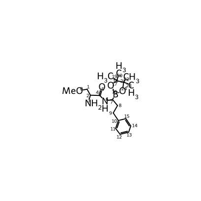 COCC(N)C(=O)NC(CCc1ccccc1)B1OC(C)(C)C(C)(C)O1